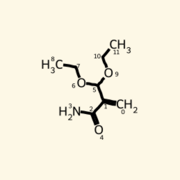 C=C(C(N)=O)C(OCC)OCC